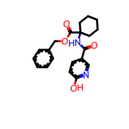 O=C(NC1(C(=O)OCc2ccccc2)CCCCC1)c1ccc(O)nc1